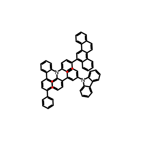 c1ccc(-c2ccc(-c3ccccc3N(c3ccc(-c4cc5c6ccccc6ccc5c5ccccc45)cc3)c3ccccc3-c3cccc(-n4c5ccccc5c5ccccc54)c3)cc2)cc1